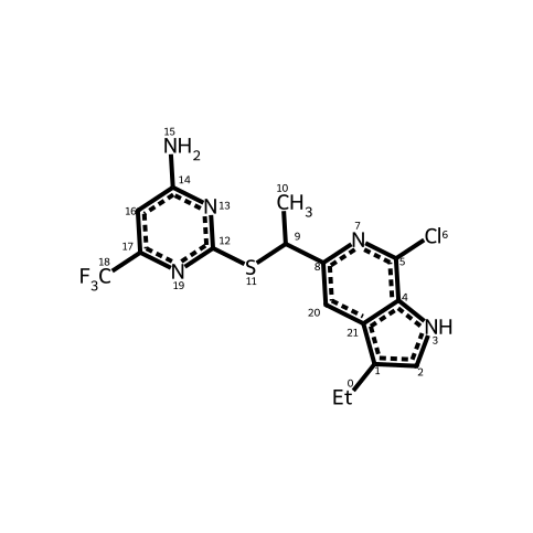 CCc1c[nH]c2c(Cl)nc(C(C)Sc3nc(N)cc(C(F)(F)F)n3)cc12